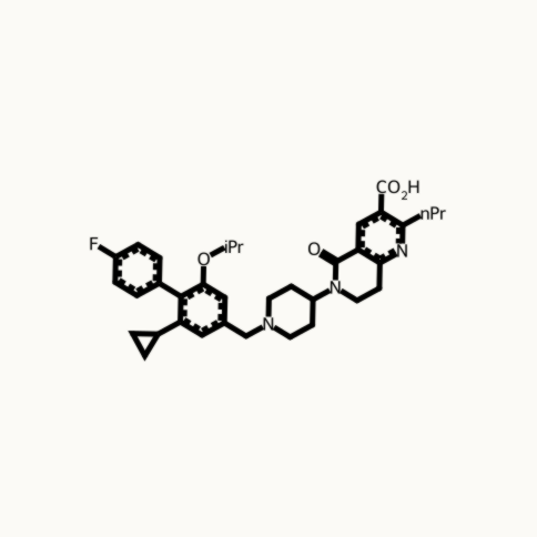 CCCc1nc2c(cc1C(=O)O)C(=O)N(C1CCN(Cc3cc(OC(C)C)c(-c4ccc(F)cc4)c(C4CC4)c3)CC1)CC2